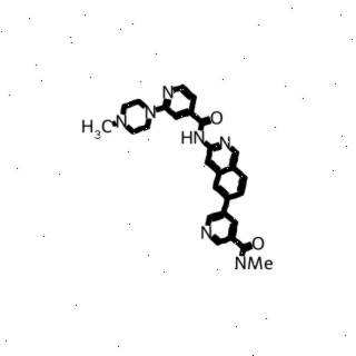 CNC(=O)c1cncc(-c2ccc3cnc(NC(=O)c4ccnc(N5CCN(C)CC5)c4)cc3c2)c1